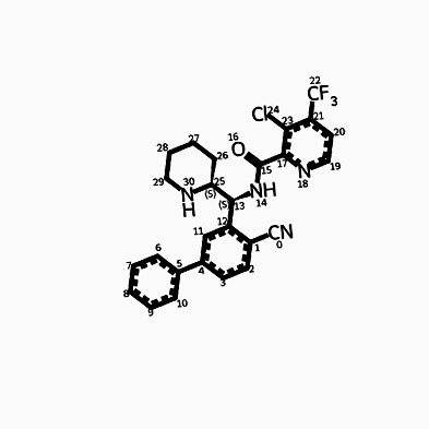 N#Cc1ccc(-c2ccccc2)cc1[C@H](NC(=O)c1nccc(C(F)(F)F)c1Cl)[C@@H]1CCCCN1